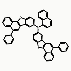 c1ccc(-c2cc3c4cc(N(c5ccc6sc7c8ccccc8c(-c8ccccc8)cc7c6c5)c5cccc6ccccc56)ccc4oc3c3ccccc23)cc1